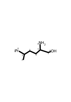 CC(C)C(C)CCC(N)CO